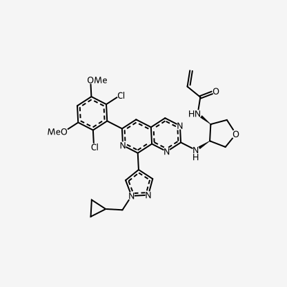 C=CC(=O)N[C@H]1COC[C@H]1Nc1ncc2cc(-c3c(Cl)c(OC)cc(OC)c3Cl)nc(-c3cnn(CC4CC4)c3)c2n1